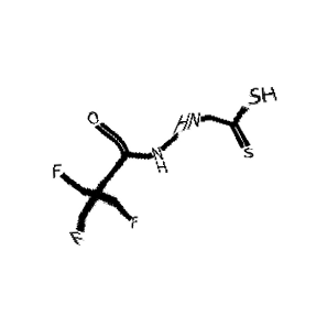 O=C(NNC(=S)S)C(F)(F)F